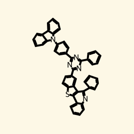 c1ccc(-c2nc(-c3ccc(-n4c5ccccc5c5ccccc54)cc3)nc(-c3ccc4sc5c6ccccc6nc(-c6ccccc6)c5c4c3)n2)cc1